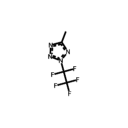 Cc1nnn(C(F)(F)C(F)(F)F)n1